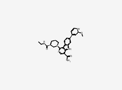 CCNC(=O)[C@H]1CCCN(c2ncc(C(N)=O)c3[nH]c4cc(C5=CC(OC)NC=C5)ccc4c23)C1